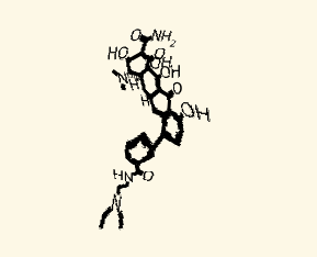 CCN(CC)CCNC(=O)c1cccc(-c2ccc(O)c3c2C[C@H]2C[C@H]4[C@H](N(C)C)C(O)C(C(N)=O)C(=O)[C@@]4(O)C(O)=C2C3=O)c1